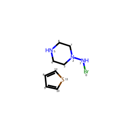 BrNN1CCNCC1.c1ccsc1